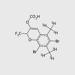 [2H]C([2H])([2H])c1c(Br)c2c(c(C([2H])([2H])[2H])c1Br)C=C(OC(=O)O)C(C(F)(F)F)O2